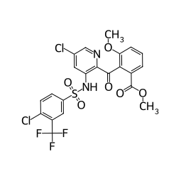 COC(=O)c1cccc(OC)c1C(=O)c1ncc(Cl)cc1NS(=O)(=O)c1ccc(Cl)c(C(F)(F)F)c1